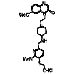 CNc1nc(CNC2CCN(CCn3c(=O)cnc4ccc(OC)cc43)CC2)ccc1SCC=O